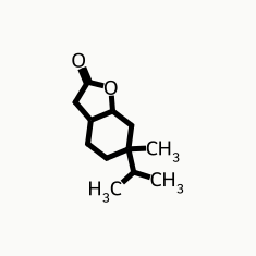 CC(C)C1(C)CCC2CC(=O)OC2C1